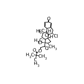 C[C@@H]1C[C@H]2[C@@H]3[C@H](Cl)CC4=CC(=O)C=C[C@]4(C)[C@@]3(Cl)[C@@H](F)C[C@]2(C)[C@@]1(Cl)C(=O)COC(=O)C(C)(C)C